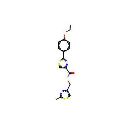 CCOc1ccc(-c2nc(C(=O)OCc3csc(C)n3)cs2)cc1